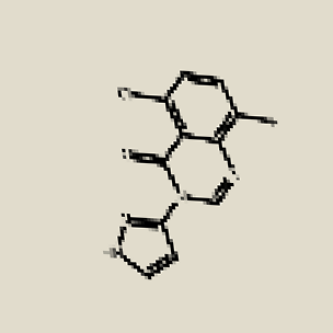 O=c1c2c(Cl)ccc(F)c2ncn1-c1cc[nH]n1